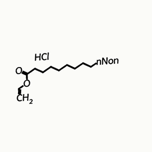 C=COC(=O)CCCCCCCCCCCCCCCCC.Cl